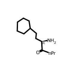 CCCC(=O)[C@H](N)CCC1CCCCC1